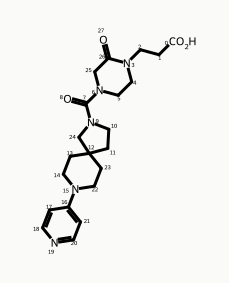 O=C(O)CCN1CCN(C(=O)N2CCC3(CCN(c4ccncc4)CC3)C2)CC1=O